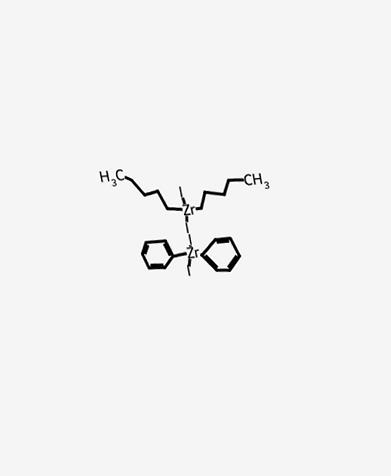 CCCC[CH2][Zr]([I])([I])[CH2]CCCC.[I][Zr]([I])([c]1ccccc1)[c]1ccccc1